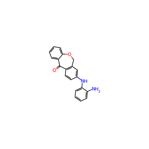 Nc1ccccc1Nc1ccc2c(c1)COc1ccccc1C2=O